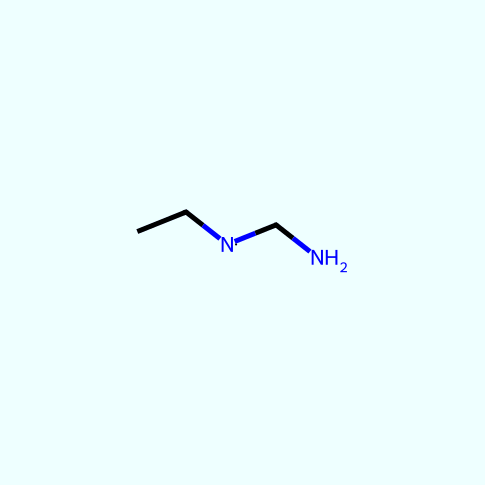 CC[N]CN